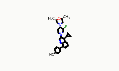 C[C@@H]1CN([C@@H]2CCN(c3cnc4c(-c5ccc(C#N)cc5)cccc4c3C3CC3)C[C@@H]2F)C[C@H](C)O1